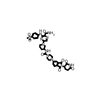 CS(=O)(=O)c1ccc(Nc2nc(N3CCCC(NC(=O)N4CCN(c5ccc6c(c5)C(=O)N(C5CCC(=O)NC5=O)C6=O)CC4)C3)cnc2C(N)=O)cc1